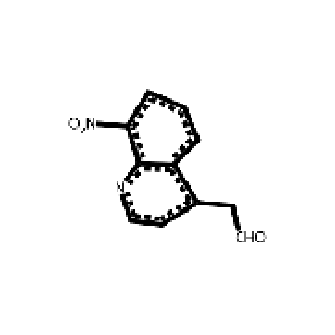 O=CCc1ccnc2c([N+](=O)[O-])cccc12